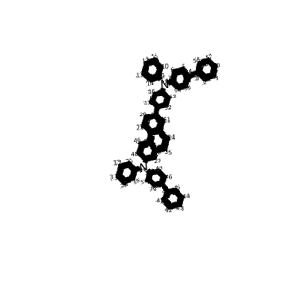 c1ccc(-c2ccc(N(c3ccccc3)c3ccc(-c4ccc5c(ccc6cc(N(c7ccccc7)c7ccc(-c8ccccc8)cc7)ccc65)c4)cc3)cc2)cc1